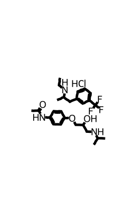 CC(=O)Nc1ccc(OCC(O)CNC(C)C)cc1.CCNC(C)Cc1cccc(C(F)(F)F)c1.Cl